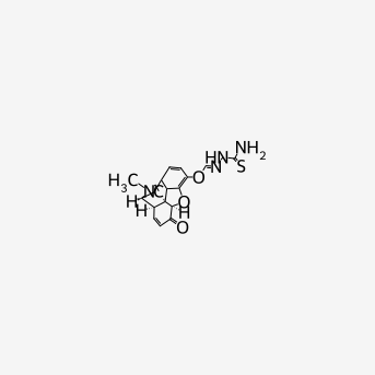 CN1CC[C@@]23C4C5=C(OC=NNC(N)=S)C=CC4C[C@@H]1[C@@H]2C=CC(=O)[C@@H]3O5